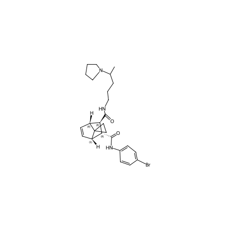 CC(CCCNC(=O)[C@H]1[C@H](C(=O)Nc2ccc(Br)cc2)[C@@H]2C=C[C@H]1C21CC1)N1CCCC1